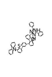 c1ccc(C2=NC(c3cccc4c3oc3cccc(-c5ccc6sc7c(-n8c9ccccc9c9ccccc98)cccc7c6c5)c34)NC(c3ccccc3)N2)cc1